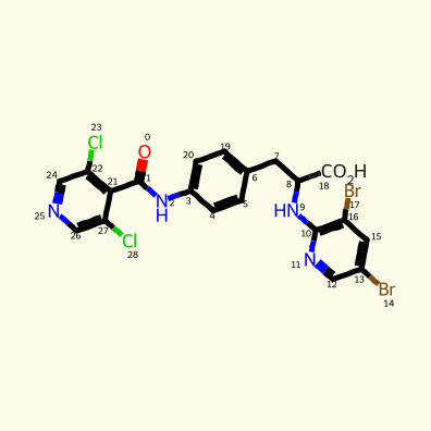 O=C(Nc1ccc(CC(Nc2ncc(Br)cc2Br)C(=O)O)cc1)c1c(Cl)cncc1Cl